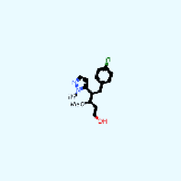 COC(CCO)C(Cc1ccc(Cl)cc1)c1ccnn1C(C)C